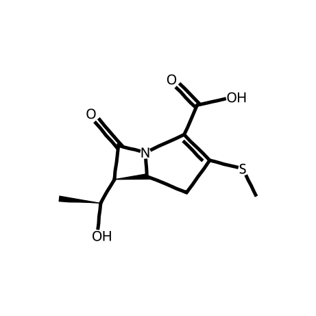 CSC1=C(C(=O)O)N2C(=O)[C@H]([C@H](C)O)C2C1